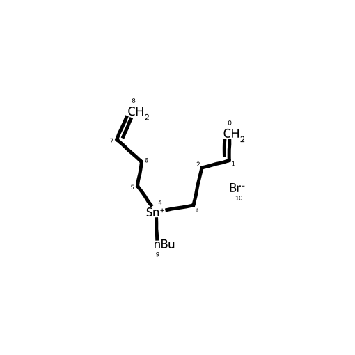 C=CC[CH2][Sn+]([CH2]CC=C)[CH2]CCC.[Br-]